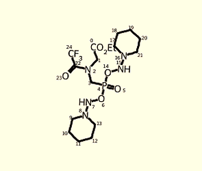 CCOC(=O)CN(CP(=O)(ONN1CCCCC1)ONN1CCCCC1)C(=O)C(F)(F)F